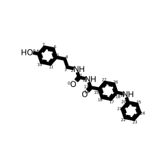 O=C(NCCc1ccc(O)cc1)NC(=O)c1ccc(Nc2ccccc2)cc1